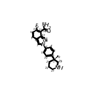 C[C@]1(c2ccc(-n3cc4ccc(F)c(C(N)=O)c4n3)cc2)CCCNC1